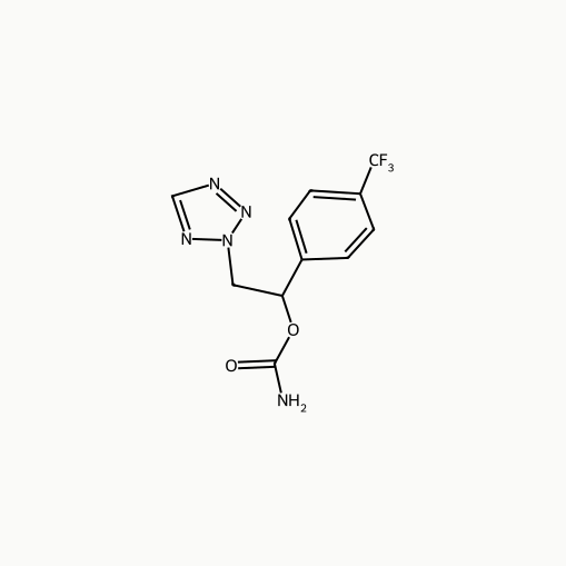 NC(=O)OC(Cn1ncnn1)c1ccc(C(F)(F)F)cc1